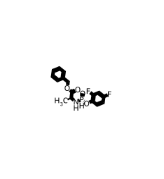 C[C@H](N[PH](=O)Oc1ccc(F)cc1F)C(=O)OCc1ccccc1